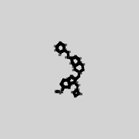 O=C(O)c1ccc2nc(CN3CCc4ccc(OCc5ccccn5)cc4C3)n(C[C@@H]3CCO3)c2c1